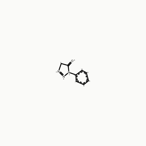 O=C1CN=NN1c1ccccc1